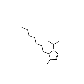 CCCCCCCC1N(C)C=CN1C(C)C